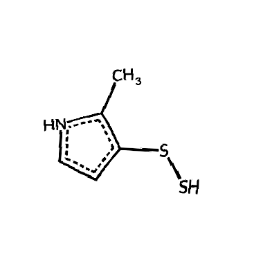 Cc1[nH]ccc1SS